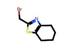 BrCc1nc2c(s1)CCCC2